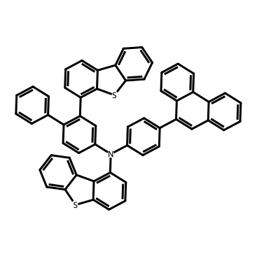 c1ccc(-c2ccc(N(c3ccc(-c4cc5ccccc5c5ccccc45)cc3)c3cccc4sc5ccccc5c34)cc2-c2cccc3c2sc2ccccc23)cc1